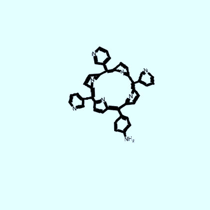 Nc1ccc(C2=C3C=CC(=N3)C(c3cccnc3)=C3C=CC(=N3)C(c3cccnc3)=C3C=CC(=N3)C(c3cccnc3)=C3C=CC2=N3)cc1